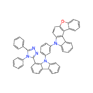 c1ccc(-c2nnc(-c3cccc4c5ccccc5n(-c5cccc(-n6c7ccccc7c7c8c(ccc76)oc6ccccc68)c5)c34)n2-c2ccccc2)cc1